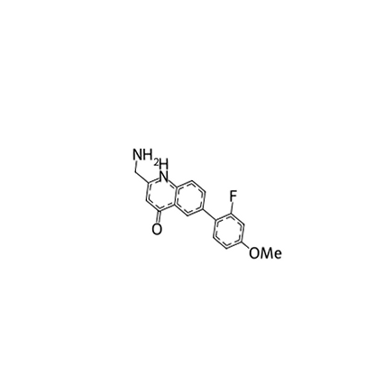 COc1ccc(-c2ccc3[nH]c(CN)cc(=O)c3c2)c(F)c1